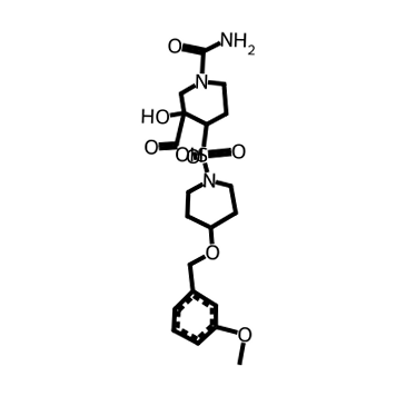 COc1cccc(COC2CCN(S(=O)(=O)C3CCN(C(N)=O)CC3(O)C(=O)O)CC2)c1